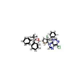 CC(C)(C)[Si](OC[C@@H]1C[C@@](F)([Se]c2ccccc2)[C@H](n2cnc3c(Cl)ncnc32)S1)(c1ccccc1)c1ccccc1